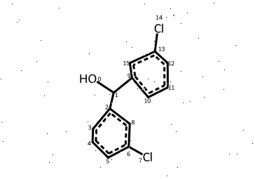 OC(c1cccc(Cl)c1)c1cccc(Cl)c1